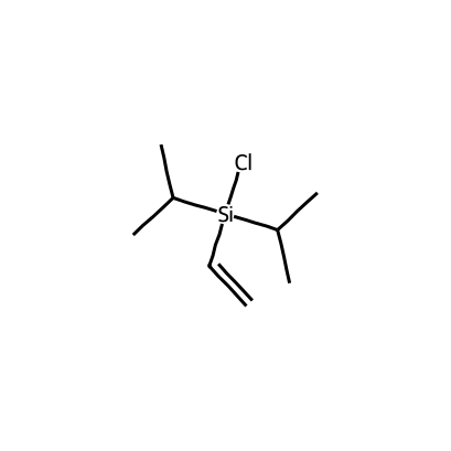 C=C[Si](Cl)(C(C)C)C(C)C